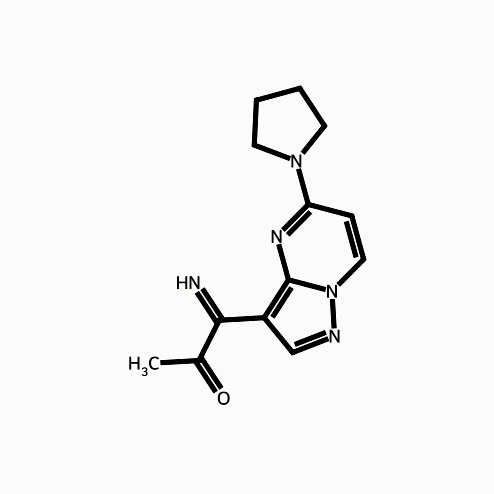 CC(=O)C(=N)c1cnn2ccc(N3CCCC3)nc12